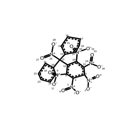 O=[N+]([O-])c1c([N+](=O)[O-])c([N+](=O)[O-])c(C(c2ccccc2)(c2ccccc2)[N+](=O)[O-])c([N+](=O)[O-])c1[N+](=O)[O-]